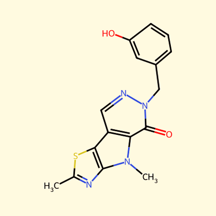 Cc1nc2c(s1)c1cnn(Cc3cccc(O)c3)c(=O)c1n2C